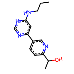 CCCNc1cc(-c2ccc(C(C)O)nc2)ncn1